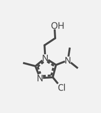 Cc1nc(Cl)c(N(C)C)n1CCO